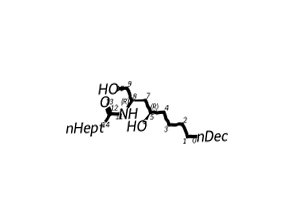 CCCCCCCCCCCCCC[C@@H](O)C[C@H](CO)NC(=O)CCCCCCC